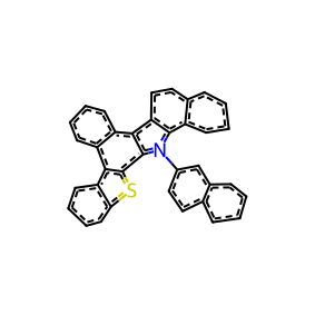 c1ccc2cc(-n3c4c5ccccc5ccc4c4c5ccccc5c5c6ccccc6sc5c43)ccc2c1